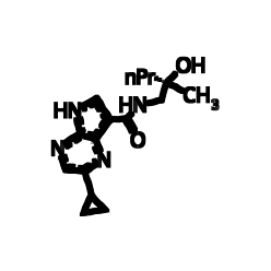 CCC[C@@](C)(O)CNC(=O)c1c[nH]c2ncc(C3CC3)nc12